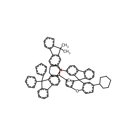 CC1(C)c2ccccc2-c2ccc(N(c3ccc4c(c3)C(c3ccccc3)(c3ccccc3)c3ccccc3-4)c3ccc4c(c3)C3(c5cc(C6CCCCC6)ccc5Oc5ccc(C6CCCCC6)cc53)c3ccccc3-4)cc21